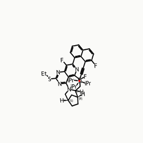 CCSc1nc2c3c(nc(-c4cccc5ccc(F)c(C#C[Si](C(C)C)(C(C)C)C(C)C)c45)c(F)c3n1)[C@@H](F)C[C@@H]1[C@@H]3CC[C@@H](C3)CN21